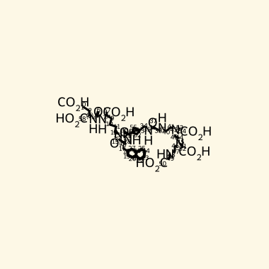 O=C(O)CC[C@H](NC(=O)NC(CCCCNC(=O)[C@H](Cc1ccc2ccccc2c1)NC(=O)C12CC(CNC(=O)CNCCN(CCN(CCNCC(=O)O)CC(=O)O)CC(=O)O)(C1)C2)C(=O)O)C(=O)O